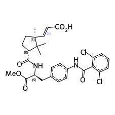 COC(=O)[C@H](Cc1ccc(NC(=O)c2c(Cl)cccc2Cl)cc1)NC(=O)[C@@H]1CC[C@@](C)(/C=C/C(=O)O)C1(C)C